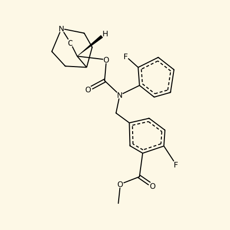 COC(=O)c1cc(CN(C(=O)O[C@H]2CN3CCC2CC3)c2ccccc2F)ccc1F